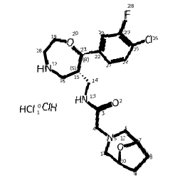 Cl.Cl.O=C(CN1CC2CCC(C1)O2)NC[C@@H]1CNCCO[C@H]1c1ccc(Cl)c(F)c1